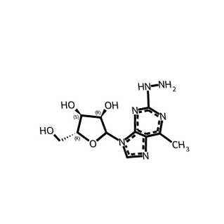 Cc1nc(NN)nc2c1ncn2C1O[C@H](CO)[C@@H](O)[C@H]1O